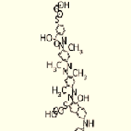 Cc1cc(N=Nc2ccc(SOOO)cc2C(=O)O)c(C)cc1N=Nc1cc(C)c(N=Nc2c(SOOO)cc3cc(Nc4ccccc4)ccc3c2O)cc1C